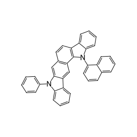 c1ccc(-n2c3ccccc3c3cc4c(ccc5c6ccccc6n(-c6cccc7ccccc67)c45)cc32)cc1